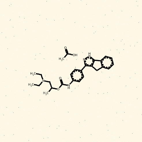 CC(=O)O.CCN(CC)CC(C)OC(=O)Nc1ccc(-c2n[nH]c3c2Cc2ccccc2-3)cc1